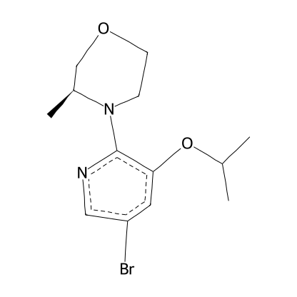 CC(C)Oc1cc(Br)cnc1N1CCOC[C@@H]1C